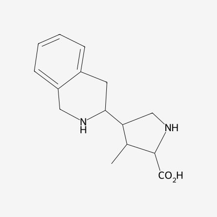 CC1C(C(=O)O)NCC1C1Cc2ccccc2CN1